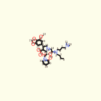 CCCCN(CCCCN(C)C)C(=O)CN1C[C@H](c2cc(OC)c3c(c2)OCO3)[C@H](C(=O)O)[C@H]1CCn1ccccc1=O